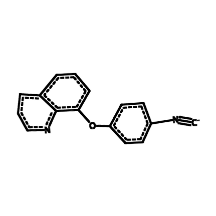 [C-]#[N+]c1ccc(Oc2cccc3cccnc23)cc1